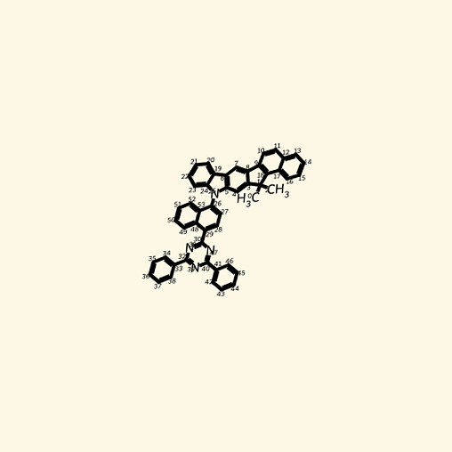 CC1(C)c2cc3c(cc2-c2ccc4ccccc4c21)c1ccccc1n3-c1ccc(-c2nc(-c3ccccc3)nc(-c3ccccc3)n2)c2ccccc12